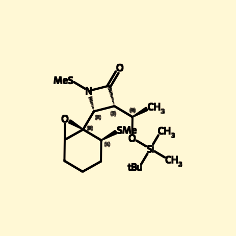 CS[C@H]1CCCC2O[C@]21[C@H]1[C@@H]([C@@H](C)O[Si](C)(C)C(C)(C)C)C(=O)N1SC